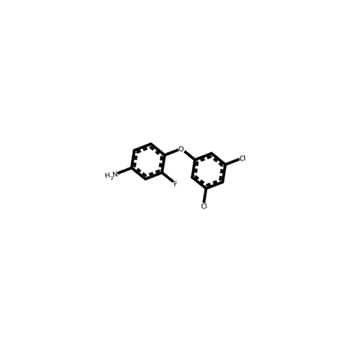 Nc1ccc(Oc2cc(Cl)cc(Cl)c2)c(F)c1